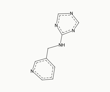 c1cncc(CNc2ncncn2)c1